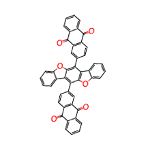 O=C1c2ccccc2C(=O)c2cc(-c3c4oc5ccccc5c4c(-c4ccc5c(c4)C(=O)c4ccccc4C5=O)c4oc5ccccc5c34)ccc21